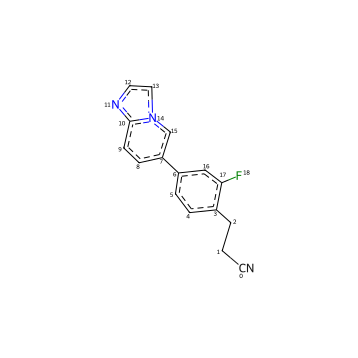 N#CCCc1ccc(-c2ccc3nccn3c2)cc1F